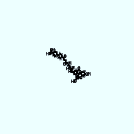 O=C(CCC(=O)N1CCN(c2ccc(B(O)O)cn2)CC1)NCCNC(=S)Nc1ccc2c(c1)C(=O)OC21c2ccc(O)cc2Oc2cc(O)ccc21